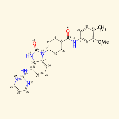 COc1cc(NC(=O)C2CCC(n3c(=O)[nH]c4c(Nc5ncccn5)cccc43)CC2)ccc1C